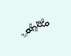 Cc1ccc2[nH]c(CNC(=O)CC(CC3CCCC3)N(O)C=O)nc2c1